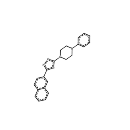 c1ccc(N2CCN(c3nc(-c4ccc5ccccc5c4)no3)CC2)cc1